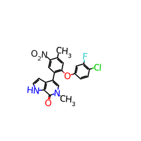 Cc1cc(Oc2ccc(Cl)c(F)c2)c(-c2cn(C)c(=O)c3[nH]ccc23)cc1[N+](=O)[O-]